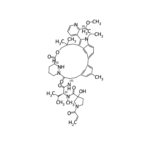 C=CC(=O)N1CCC(O)(C(=O)N(C)[C@H](C(=O)N[C@H]2Cc3cc(C)cc(c3)-c3ccc4c(c3)c(c(-c3cccnc3[C@H](C)OC)n4CC)CC(C)(C)COC(=O)[C@@H]3CCCN(N3)C2=O)C(C)C)C1